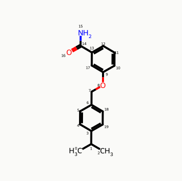 CC(C)c1ccc(COc2cccc(C(N)=O)c2)cc1